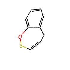 [C]1=CCc2ccccc2OS1